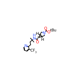 CC(C)(CCc1ncccc1C(F)(F)F)NC(=O)[C@H]1[C@@H]2CN(C(=O)OC(C)(C)C)C[C@@H]21